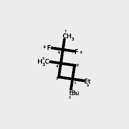 CCC1(C(C)(C)C)CC(C)(C(C)(F)F)C1